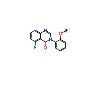 CC(C)Oc1ccccc1-n1cnc2cccc(F)c2c1=O